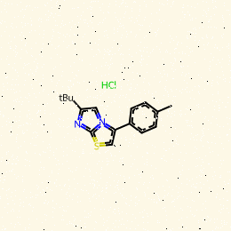 Cc1ccc(-c2csc3nc(C(C)(C)C)cn23)cc1.Cl